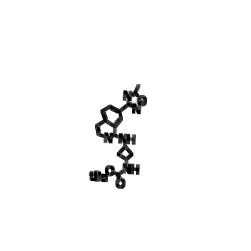 Cc1nc(-c2ccc3ccnc(NC4CC(NC(=O)OC(C)(C)C)C4)c3c2)no1